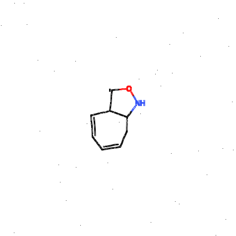 [C]1ONC2CC=CC=CC12